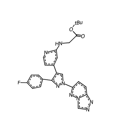 CC(C)(C)OC(=O)CNc1cc(-c2cn(-c3ccc4nncn4n3)nc2-c2ccc(F)cc2)ccn1